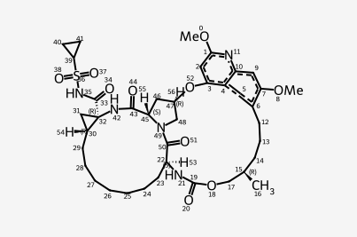 COc1cc2c3cc(c(OC)cc3n1)CCC[C@@H](C)COC(=O)N[C@H]1CCCCCCC[C@@H]3C[C@@]3(C(=O)NS(=O)(=O)C3CC3)NC(=O)[C@@H]3C[C@H](CN3C1=O)O2